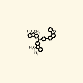 CC1(C)c2ccccc2-c2cc(N(c3ccc(-c4ccc5ccc6oc7ccccc7c6c5c4)cc3)c3ccc4c(c3)-c3ccccc3C4(C)C)ccc21